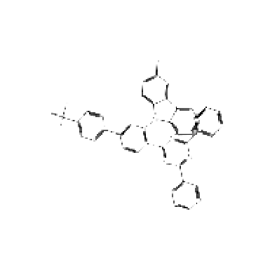 Cc1ccc2c(c1)c1ccccc1n2-c1cc(-c2ccc(C(F)(F)F)cc2)ccc1-c1nc(-c2ccccc2)nc(-c2ccccc2)n1